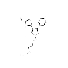 COCCOCn1nc(-c2ccc(F)cc2)c(-c2nc(C=O)cs2)c1C